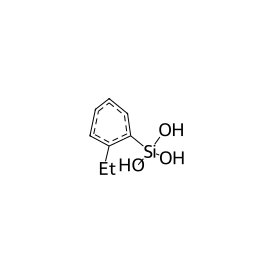 CCc1ccccc1[Si](O)(O)O